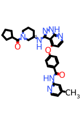 Cc1ccnc(NC(=O)c2ccc(Oc3ccnc4[nH]nc(N[C@@H]5CCCN(C(=O)C6CCCC6)C5)c34)cc2)c1